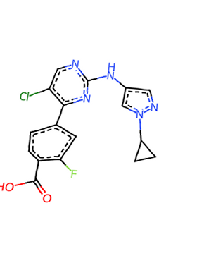 O=C(O)c1ccc(-c2nc(Nc3cnn(C4CC4)c3)ncc2Cl)cc1F